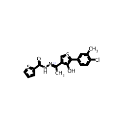 C/C(=N\NC(=O)c1cccs1)c1csc(-c2ccc(Cl)c(C)c2)c1O